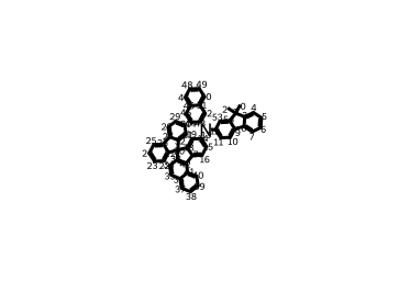 CC1(C)c2ccccc2-c2ccc(N(c3ccc4c(c3)C3(c5ccccc5-c5ccccc53)c3ccc5ccccc5c3-4)c3ccc4ccccc4c3)cc21